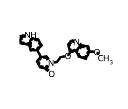 COc1ccc2c(OCCn3cc(-c4ccc5[nH]ccc5c4)ccc3=O)ccnc2c1